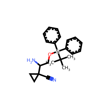 CC(C)(C)[Si](OCC(N)C1(C#N)CC1)(c1ccccc1)c1ccccc1